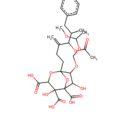 C=C(CCC12OC(C(=O)O)C(O)(C(=O)O)C(C(=O)O)(O1)C(O)C2OCOC(C)OC)C(OC(C)=O)C(C)Cc1ccccc1